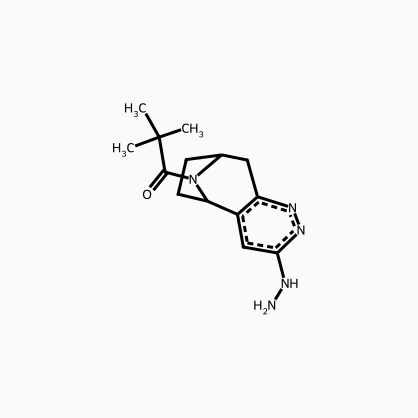 CC(C)(C)C(=O)N1C2CCC1c1cc(NN)nnc1C2